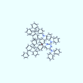 c1ccc(-c2cccc([Si](c3ccccc3)(c3ccccc3)c3ccc(-c4cc(-n5c6ccccc6c6ccccc65)nc(-n5c6ccccc6c6ccc7c(c8ccccc8n7-c7cccc([Si](c8ccccc8)(c8ccccc8)c8ccccc8)c7)c65)n4)cc3)c2)cc1